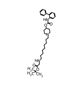 CC(C)(C)OC(=O)CNCCCCCCCCCN1CCC(OC(=O)Nc2ccccc2-c2ccccc2)CC1